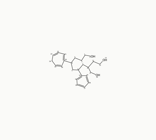 OCCCC(CC(CC(CO)CCO)c1ccccc1)C1=CC=CCC=C1